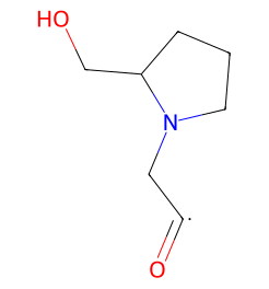 O=[C]CN1CCCC1CO